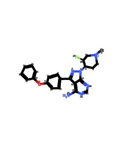 CCN1CC[C@@H](n2nc(-c3ccc(Oc4ccccc4)cc3)c3c(N)ncnc32)[C@@H](F)C1